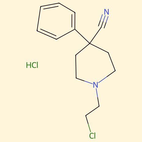 Cl.N#CC1(c2ccccc2)CCN(CCCl)CC1